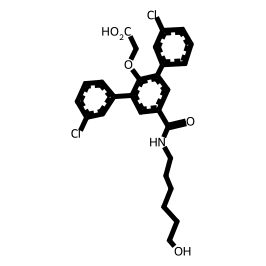 O=C(O)COc1c(-c2cccc(Cl)c2)cc(C(=O)NCCCCCCO)cc1-c1cccc(Cl)c1